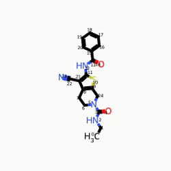 CCNC(=O)N1CCc2c(sc(NC(=O)c3ccccc3)c2C#N)C1